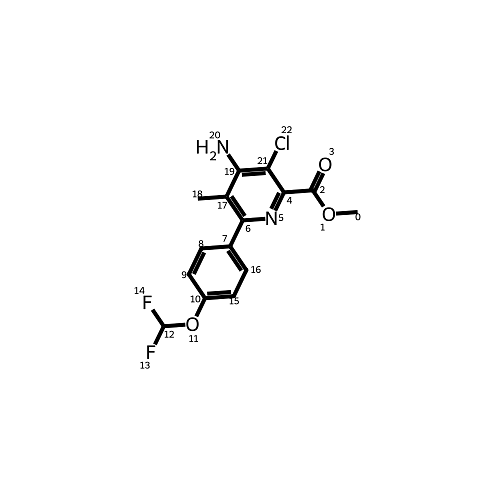 COC(=O)c1nc(-c2ccc(OC(F)F)cc2)c(C)c(N)c1Cl